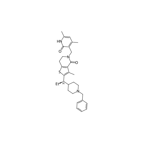 CC[C@@H](c1sc2c(c1C)C(=O)N(Cc1c(C)cc(C)[nH]c1=O)CC2)C1CCN(Cc2ccccc2)CC1